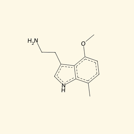 COc1ccc(C)c2[nH]cc(CCN)c12